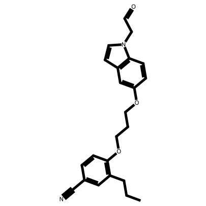 CCCc1cc(C#N)ccc1OCCCOc1ccc2c(ccn2CC=O)c1